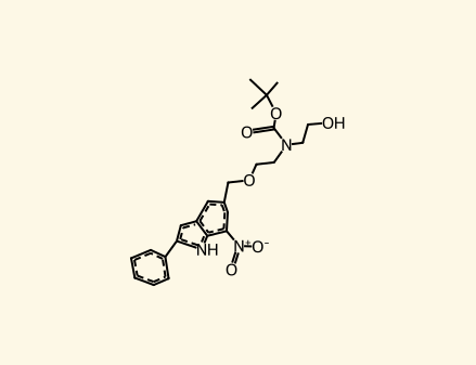 CC(C)(C)OC(=O)N(CCO)CCOCc1cc([N+](=O)[O-])c2[nH]c(-c3ccccc3)cc2c1